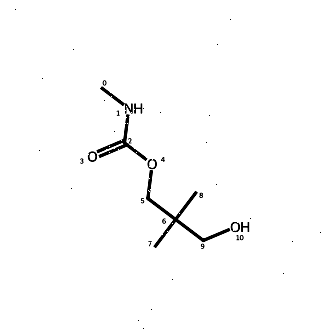 CNC(=O)OCC(C)(C)CO